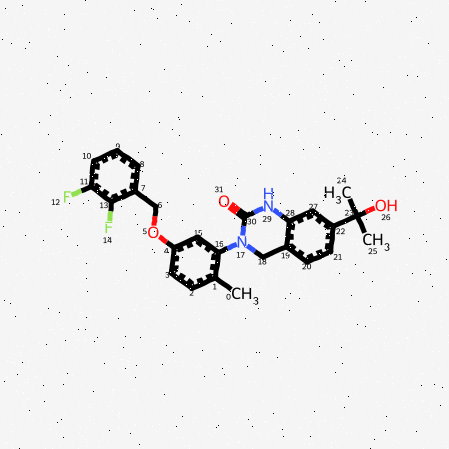 Cc1ccc(OCc2cccc(F)c2F)cc1N1Cc2ccc(C(C)(C)O)cc2NC1=O